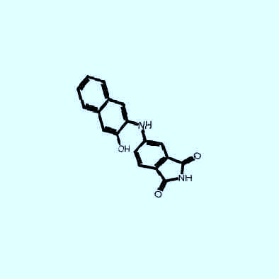 O=C1NC(=O)c2cc(Nc3cc4ccccc4cc3O)ccc21